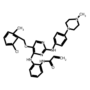 C=CC(=O)Nc1ccccc1Nc1nc(Nc2ccc(N3CCN(C)CC3)cc2)ncc1OCc1c(C)cccc1Cl